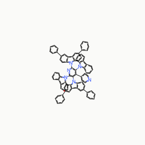 c1ccc(-c2ccc3c(c2)c2cc(-c4ccccc4)ccc2n3-c2nc(-n3c4ccccc4c4ccccc43)c(-n3c4ccc(-c5ccccc5)cc4c4cc(-c5ccccc5)ccc43)c(-c3ccncc3)c2-n2c3ccccc3c3ccccc32)cc1